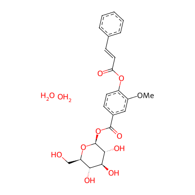 COc1cc(C(=O)O[C@@H]2O[C@H](CO)[C@@H](O)[C@H](O)[C@H]2O)ccc1OC(=O)/C=C/c1ccccc1.O.O